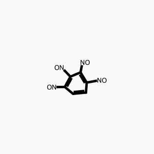 O=Nc1ccc(N=O)c(N=O)c1N=O